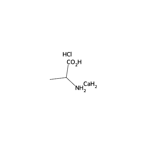 CC(N)C(=O)O.Cl.[CaH2]